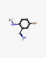 CCNc1ccc(Br)cc1C=N